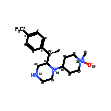 C[C@@H](c1ccc(C(F)(F)F)cc1)C1CNCCN1C1CC[N+](C)([O-])CC1